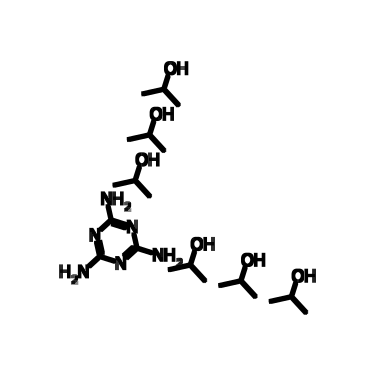 CC(C)O.CC(C)O.CC(C)O.CC(C)O.CC(C)O.CC(C)O.Nc1nc(N)nc(N)n1